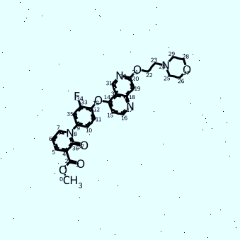 COC(=O)c1cccn(-c2ccc(Oc3ccnc4cc(OCCN5CCOCC5)ncc34)c(F)c2)c1=O